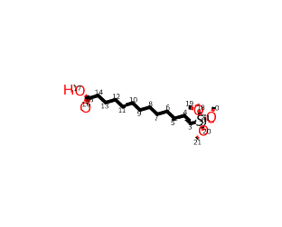 CO[Si](CCCCCCCCCCCCC(=O)O)(OC)OC